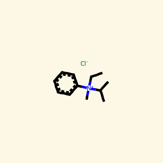 CC[N+](C)(c1ccccc1)C(C)C.[Cl-]